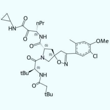 CCC[C@H](NC(=O)[C@@H]1C[C@]2(CC(c3cc(Cl)c(OC)cc3C)=NO2)CN1C(=O)[C@@H](NC(=O)CC(C)(C)C)C(C)(C)C)C(=O)C(=O)NC1CC1